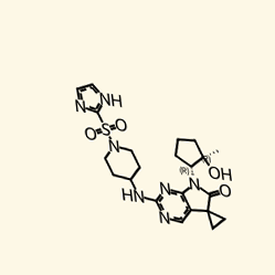 C[C@@]1(O)CCC[C@H]1N1C(=O)C2(CC2)c2cnc(NC3CCN(S(=O)(=O)c4ncc[nH]4)CC3)nc21